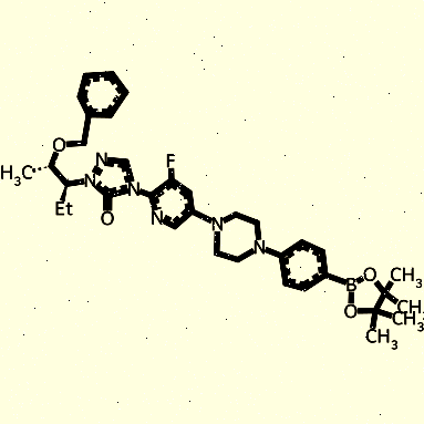 CC[C@@H]([C@H](C)OCc1ccccc1)n1ncn(-c2ncc(N3CCN(c4ccc(B5OC(C)(C)C(C)(C)O5)cc4)CC3)cc2F)c1=O